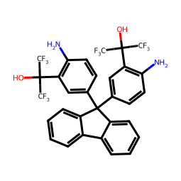 Nc1ccc(C2(c3ccc(N)c(C(O)(C(F)(F)F)C(F)(F)F)c3)c3ccccc3-c3ccccc32)cc1C(O)(C(F)(F)F)C(F)(F)F